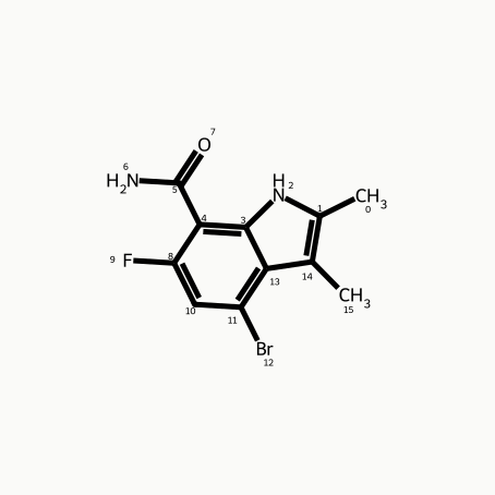 Cc1[nH]c2c(C(N)=O)c(F)cc(Br)c2c1C